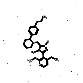 CCOc1ccc(C2CCCCN2Cc2c(Cl)nc(-c3c(CC)cccc3CC)n2C)cc1